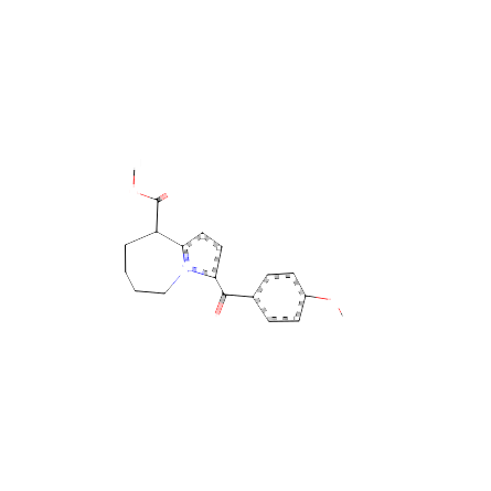 COC(=O)C1CCCCn2c(C(=O)c3ccc(OC)cc3)ccc21